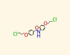 ClCCCOc1ccc(C2Nc3ccc(OCCCCl)cc3O2)cc1